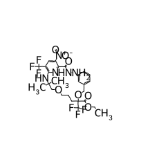 CCOC(=O)C(CCCOCC(C)(C)Nc1nc(C(=O)NN)c([N+](=O)[O-])cc1C(F)(F)F)(OCc1ccccc1)C(F)(F)F